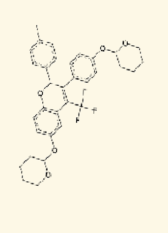 Cc1ccc(C2Oc3ccc(OC4CCCCO4)cc3C(C(F)(F)F)=C2c2ccc(OC3CCCCO3)cc2)cc1